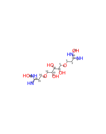 N=C(CCOCC(O)C(O)C(O)COCCC(=N)NO)NO